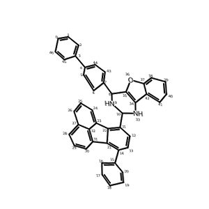 c1ccc(-c2ccc(C3NC(c4ccc(-c5ccccc5)c5c4-c4cccc6cccc-5c46)Nc4c3oc3ccccc43)cc2)cc1